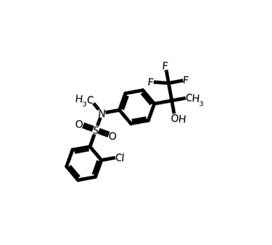 CN(c1ccc(C(C)(O)C(F)(F)F)cc1)S(=O)(=O)c1ccccc1Cl